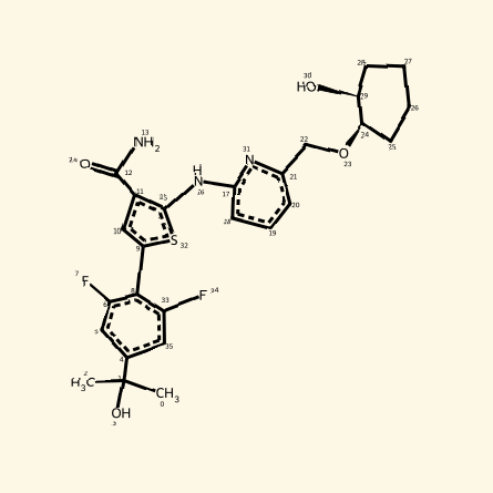 CC(C)(O)c1cc(F)c(-c2cc(C(N)=O)c(Nc3cccc(CO[C@@H]4CCCC[C@@H]4O)n3)s2)c(F)c1